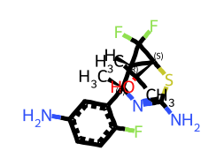 CC(C)(O)[C@@]12SC(N)=N[C@](C)(c3cc(N)ccc3F)[C@@H]1C2(F)F